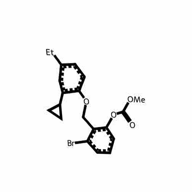 CCc1ccc(OCc2c(Br)cccc2OC(=O)OC)c(C2CC2)c1